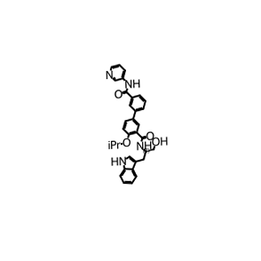 CC(C)Oc1ccc(-c2cccc(C(=O)Nc3cccnc3)c2)cc1C(=O)N[C@@H](CO)Cc1c[nH]c2ccccc12